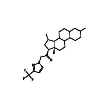 CC1CCC2C(CCC3C2CC[C@@]2(C)C3C(C)C[C@@H]2C(=O)Cn2ccc(C(F)(F)F)n2)C1